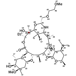 CC[C@H]1OC(=O)[C@H](C)[C@@H](O[C@H]2C[C@@](C)(OC)[C@@H](O)[C@H](C)O2)[C@H](C)C(O[C@@H]2O[C@H](C)C[C@H](N(C)C)[C@H]2O)[C@](C)(O)C[C@@H](C)[C@@H]2N[C@@H](COCCOC)O[C@@H]([C@H]2C)[C@]1(C)O